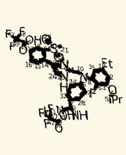 CCc1cc(OC(C)C)c(F)c(N(Cc2nc(-c3ccccc3S(C)(=O)=O)c[nH]2)c2ccc(C(=N)N)cc2)c1.O=C(O)C(F)(F)F.O=C(O)C(F)(F)F